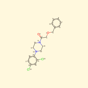 O=C(COCc1ccccc1)N1CCN(c2ccc(Cl)cc2Cl)CC1